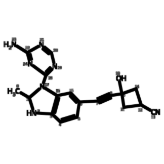 CC1Nc2ccc(C#CC3(O)CC(C#N)C3)cc2N1c1ncnc(N)n1